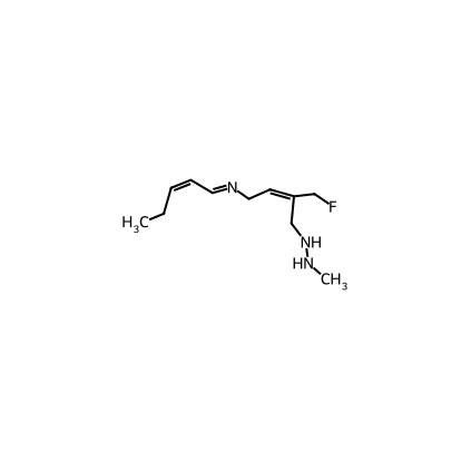 CC/C=C\C=N\C/C=C(/CF)CNNC